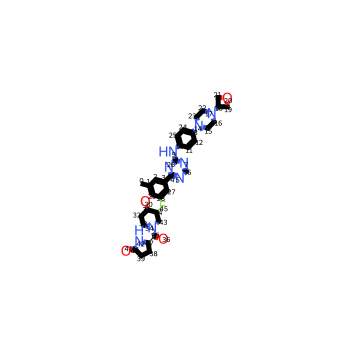 Cc1cc(-c2ncnc(Nc3ccc(N4CCN(C5COC5)CC4)cc3)n2)ccc1OC1CCN(C(=O)[C@@H]2CCC(=O)N2)C[C@H]1F